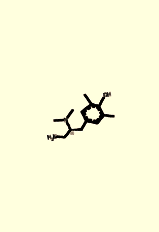 Cc1cc(C[C@@H](CN)N(C)C)cc(C)c1O